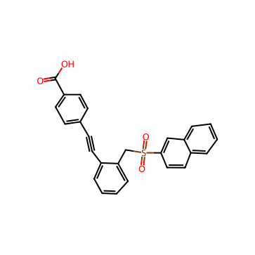 O=C(O)c1ccc(C#Cc2ccccc2CS(=O)(=O)c2ccc3ccccc3c2)cc1